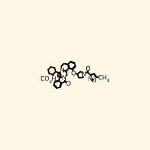 Cc1cc(C(=O)N2CCC(Oc3cccc4c3[C@@H](CN3C(=O)c5ccccc5C3=O)N(C(=O)C3CCCCC3C(=O)O)CC4)C2)no1